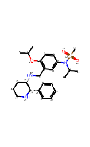 CC(C)Oc1ccc(N(C(C)C)S(C)(=O)=O)cc1CN[C@H]1CCCN[C@H]1c1ccccc1